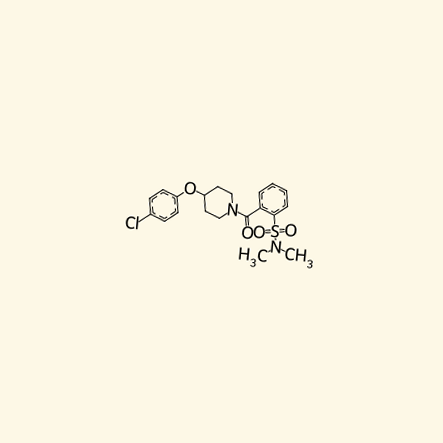 CN(C)S(=O)(=O)c1ccccc1C(=O)N1CCC(Oc2ccc(Cl)cc2)CC1